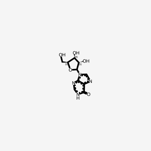 O=c1[nH]cnc2c1ncn2C1O[C@@H](CO)[C@H](O)[C@@H]1O